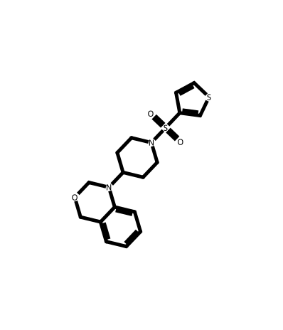 O=S(=O)(c1ccsc1)N1CCC(N2COCc3ccccc32)CC1